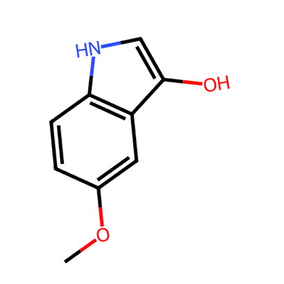 COc1ccc2[nH]cc(O)c2c1